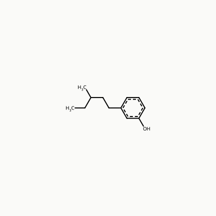 CCC(C)CCc1cccc(O)c1